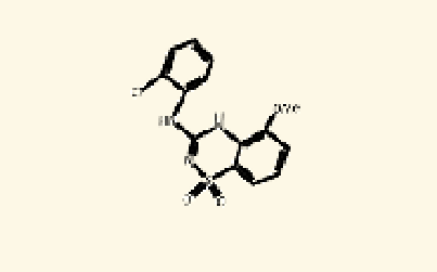 COc1cccc2c1NC(Nc1ccccc1Cl)=NS2(=O)=O